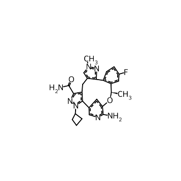 C[C@H]1Oc2cc(cnc2N)-c2c(c(C(N)=O)nn2C2CCC2)Cc2cn(C)nc2-c2ccc(F)cc21